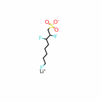 O=S(=O)([O-])CC(F)C(F)CCCCCF.[Li+]